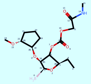 B[C@@H]1O[C@H](CC)C(OC(=O)OCC(=O)NC)[C@@H]1O[C@@H]1CCC[C@H]1OC